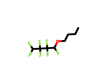 CCCCOC(F)C(F)(F)C(F)(F)[C](F)F